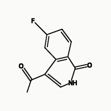 CC(=O)c1c[nH]c(=O)c2ccc(F)cc12